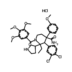 CCC1(C2CCNC2)C(c2ccc(Cl)c(Cl)c2)C(C(N)=O)(c2cccc(OC)c2)CCN1C(=O)c1cc(OC)c(OC)c(OC)c1.Cl